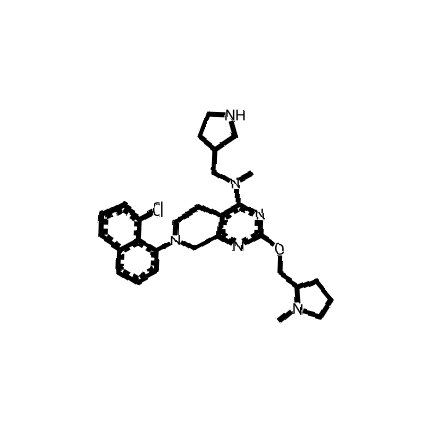 CN(CC1CCNC1)c1nc(OCC2CCCN2C)nc2c1CCN(c1cccc3cccc(Cl)c13)C2